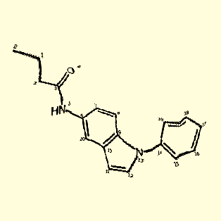 CCCC(=O)Nc1ccc2c(ccn2-c2ccccc2)c1